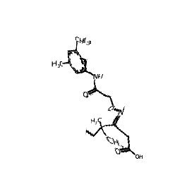 Cc1cc(C)cc(NC(=O)CO/N=C(/CC(=O)O)C(C)(C)CI)c1